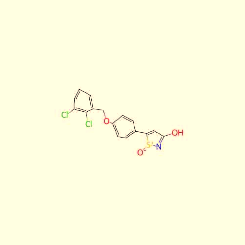 [O-][s+]1nc(O)cc1-c1ccc(OCc2cccc(Cl)c2Cl)cc1